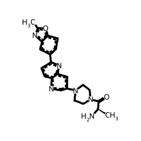 Cc1nc2cc(-c3ccc4ncc(N5CCN(C(=O)[C@@H](C)N)CC5)cc4n3)ccc2o1